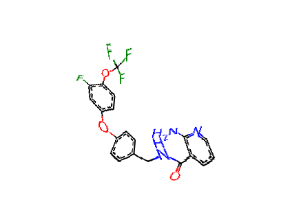 Nc1ncccc1C(=O)NCc1ccc(Oc2ccc(OC(F)(F)F)c(F)c2)cc1